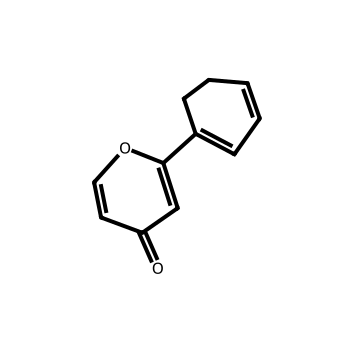 O=c1ccoc(C2=CC=CCC2)c1